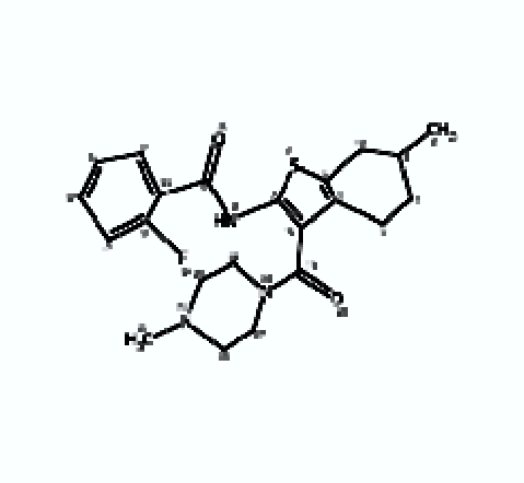 CC1CCc2c(sc(NC(=O)c3ccccc3F)c2C(=O)N2CCN(C)CC2)C1